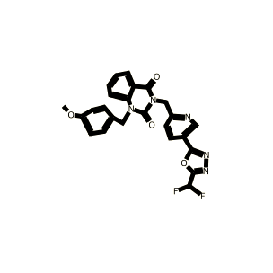 COc1ccc(Cn2c(=O)n(Cc3ccc(-c4nnc(C(F)F)o4)cn3)c(=O)c3ccccc32)cc1